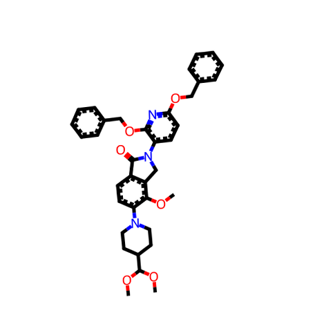 COc1c(N2CCC(C(OC)OC)CC2)ccc2c1CN(c1ccc(OCc3ccccc3)nc1OCc1ccccc1)C2=O